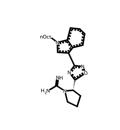 CCCCCCCCn1cc(-c2noc([C@@H]3CCCN3C(=N)N)n2)c2ccccc21